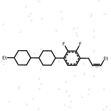 CC/C=C\Cc1ccc(C2CCC(C3CCC(CC)CC3)CC2)c(F)c1F